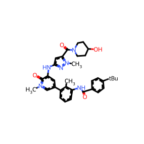 Cc1c(NC(=O)c2ccc(C(C)(C)C)cc2)cccc1-c1cc(Nc2cc(C(=O)N3CCC(O)CC3)n(C)n2)c(=O)n(C)c1